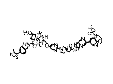 Cc1ncsc1-c1ccc(CNC(=O)[C@@H]2C[C@@H](O)CN2C(=O)[C@@H](NC(=O)COc2cnc(N3CCN(CC(=O)Nc4cn5cc(-c6cnc7c(c6)N(C(=O)OC(C)C)CCO7)ncc5n4)[C@@H](C)C3)nc2)C(C)(C)C)cc1